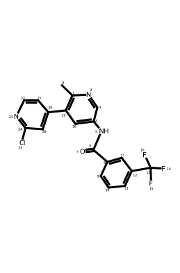 Cc1ncc(NC(=O)c2cccc(C(F)(F)F)c2)cc1-c1ccnc(Cl)c1